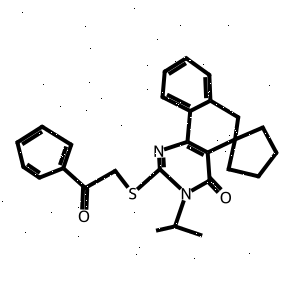 CC(C)n1c(SCC(=O)c2ccccc2)nc2c(c1=O)C1(CCCC1)Cc1ccccc1-2